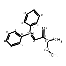 CON(C)C(=O)C=[PH](c1ccccc1)c1ccccc1